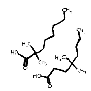 CCCCC(C)(C)CCC(=O)O.CCCCCCC(C)(C)C(=O)O